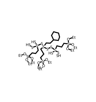 CCO[Si](CCCS(S)(SS)SSS(CCC[Si](OCC)(OCC)OCC)(CCC1CCCCC1)SS(S)(CCC[Si](OCC)(OCC)OCC)SS)(OCC)OCC